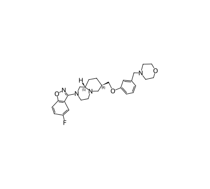 Fc1ccc2onc(N3CCN4C[C@H](COc5cccc(CN6CCOCC6)c5)CC[C@H]4C3)c2c1